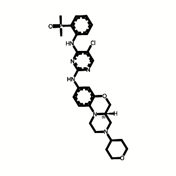 CP(C)(=O)c1ccccc1Nc1nc(Nc2ccc3c(c2)OC[C@@H]2CN(C4CCOCC4)CCN32)ncc1Cl